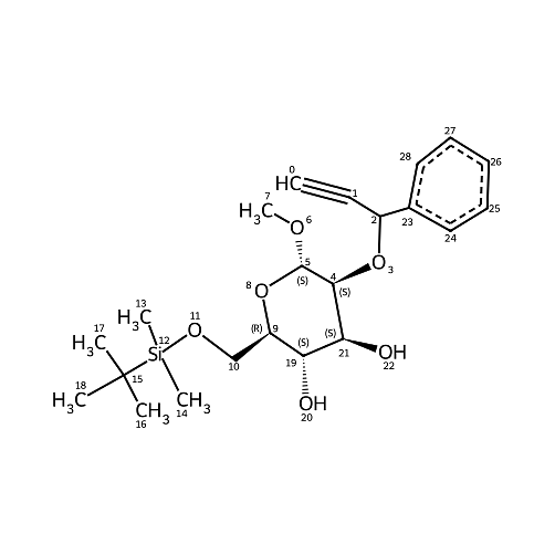 C#CC(O[C@@H]1[C@@H](OC)O[C@H](CO[Si](C)(C)C(C)(C)C)[C@@H](O)[C@@H]1O)c1ccccc1